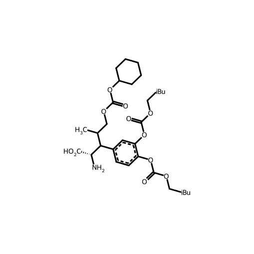 CCC(C)COC(=O)Oc1ccc(C(C(C)COC(=O)OC2CCCCC2)[C@H](N)C(=O)O)cc1OC(=O)OCC(C)CC